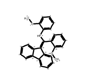 COc1ccccc1PC(=C1c2ccccc2-c2ccccc21)c1ccccc1OC